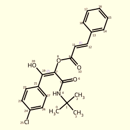 CC(C)(C)NC(=O)/C(OC(=O)/C=C/c1ccccc1)=C(/O)c1ccc(Cl)cc1